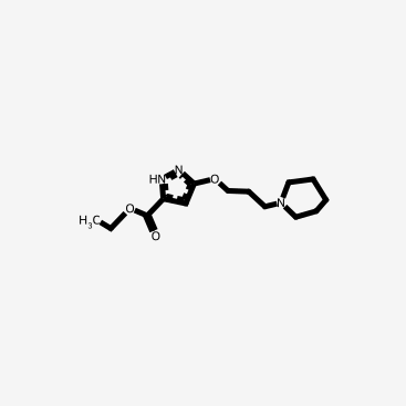 CCOC(=O)c1cc(OCCCN2CCCCC2)n[nH]1